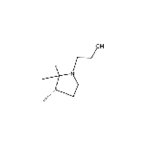 C[C@H]1CCN(CCO)C1(C)C